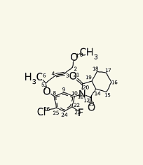 COCC#CC(C)Oc1cc(N2C(=O)C3CCCCC3C2=O)c(F)cc1Cl